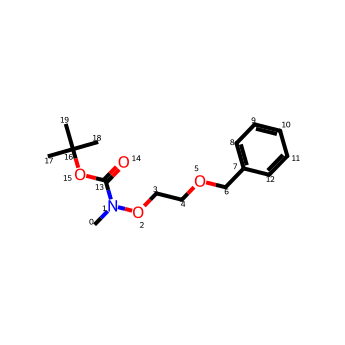 CN(OCCOCc1ccccc1)C(=O)OC(C)(C)C